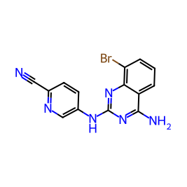 N#Cc1ccc(Nc2nc(N)c3cccc(Br)c3n2)cn1